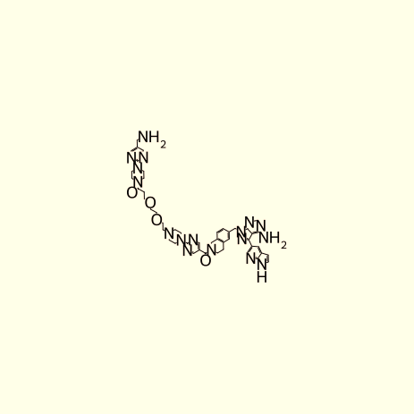 NCc1cnc(N2CCN(C(=O)CCOCCOCCN3CCN(c4ncc(C(=O)N5CCc6cc(Cn7nc(-c8cnc9[nH]ccc9c8)c8c(N)ncnc87)ccc6C5)cn4)CC3)CC2)nc1